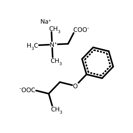 CC(COc1ccccc1)C(=O)[O-].C[N+](C)(C)CC(=O)[O-].[Na+]